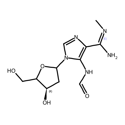 C/N=C(/N)c1ncn(C2C[C@@H](O)C(CO)O2)c1NC=O